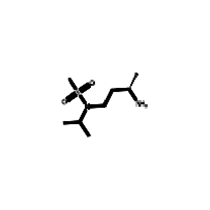 CC(C)N(CC[C@H](C)N)S(C)(=O)=O